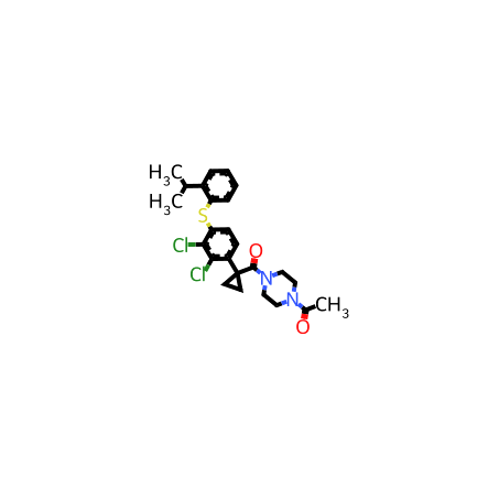 CC(=O)N1CCN(C(=O)C2(c3ccc(Sc4ccccc4C(C)C)c(Cl)c3Cl)CC2)CC1